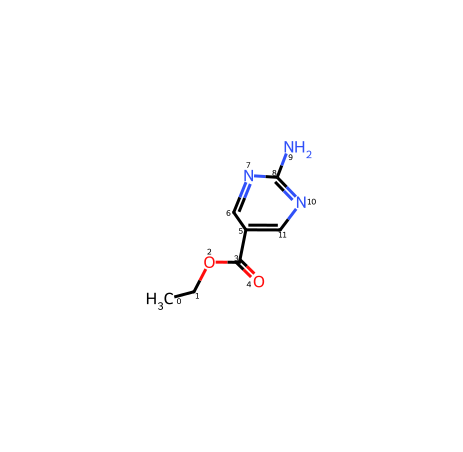 CCOC(=O)c1cnc(N)nc1